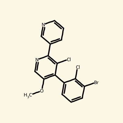 COc1cnc(-c2cccnc2)c(Cl)c1-c1cccc(Br)c1Cl